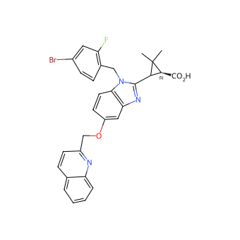 CC1(C)C(c2nc3cc(OCc4ccc5ccccc5n4)ccc3n2Cc2ccc(Br)cc2F)[C@@H]1C(=O)O